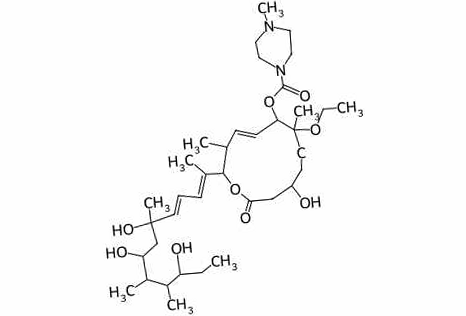 CCOC1(C)CCC(O)CC(=O)OC(/C(C)=C/C=C/C(C)(O)CC(O)C(C)C(C)C(O)CC)C(C)/C=C/C1OC(=O)N1CCN(C)CC1